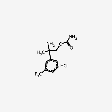 CC(N)(COC(N)=O)c1cccc(C(F)(F)F)c1.Cl